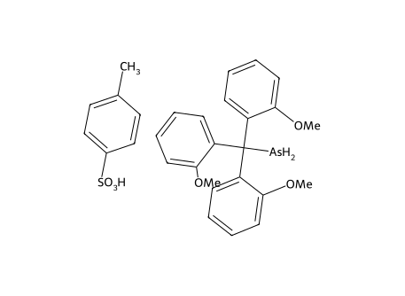 COc1ccccc1C([AsH2])(c1ccccc1OC)c1ccccc1OC.Cc1ccc(S(=O)(=O)O)cc1